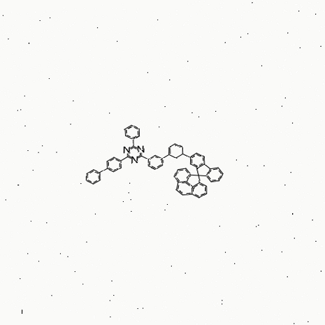 C1=CC(c2ccc3c(c2)C2(c4ccccc4-3)c3cccc4ccc5cccc2c5c34)CC(c2cccc(-c3nc(-c4ccccc4)nc(-c4ccc(-c5ccccc5)cc4)n3)c2)=C1